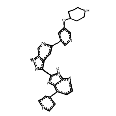 c1cc(-c2ccnc3[nH]c(-c4n[nH]c5cnc(-c6cncc(OC7CCNCC7)c6)cc45)nc23)ccn1